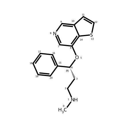 CNCC[C@@H](Oc1cncc2ccsc12)c1ccccc1